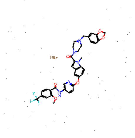 Br.COc1cc(C(F)(F)F)ccc1C(=O)Nc1ccc(Oc2ccc3c(c2)cc(C(=O)N2CCN(Cc4ccc5c(c4)OCO5)CC2)n3C)nc1